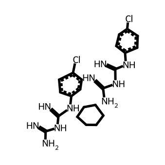 C1CCCCC1.N=C(N)NC(=N)Nc1ccc(Cl)cc1.N=C(N)NC(=N)Nc1ccc(Cl)cc1